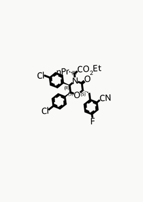 CCC[C@H](C(=O)OCC)N1C(=O)[C@H](Cc2ccc(F)cc2C#N)O[C@@H](c2ccc(Cl)cc2)[C@H]1c1ccc(Cl)cc1